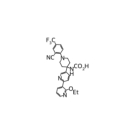 CCOc1ncccc1-c1ccc(C2(NC(=O)O)CCN(c3ccc(C(F)(F)F)cc3C#N)CC2)cn1